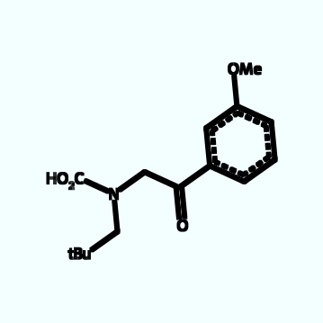 COc1cccc(C(=O)CN(CC(C)(C)C)C(=O)O)c1